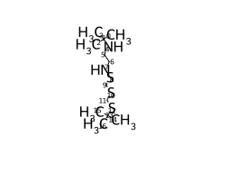 CC(C)(C)NCCNSCSCSC(C)(C)C